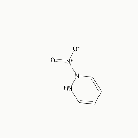 O=[N+]([O-])N1C=CC=CN1